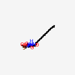 CCC=CCC=CCC=CCC=CCC=CCC=CCCC(=O)N[C@@H](C)C(=O)Nc1ccn([C@@H]2CS[C@H](CO)O2)c(=O)n1